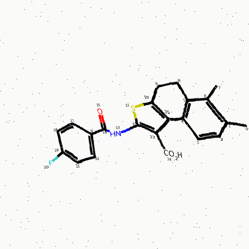 Cc1ccc2c(c1C)CCc1sc(NC(=O)c3ccc(F)cc3)c(C(=O)O)c1-2